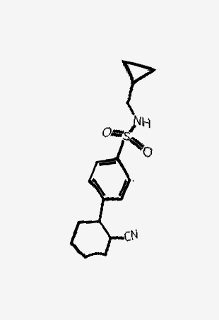 N#CC1CCCCC1c1c[c]c(S(=O)(=O)NCC2CC2)cc1